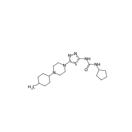 CC1CCC(N2CCN(c3nnc(NC(=O)NC4CCCC4)s3)CC2)CC1